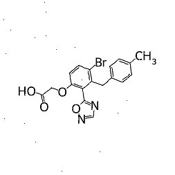 Cc1ccc(Cc2c(Br)ccc(OCC(=O)O)c2-c2ncno2)cc1